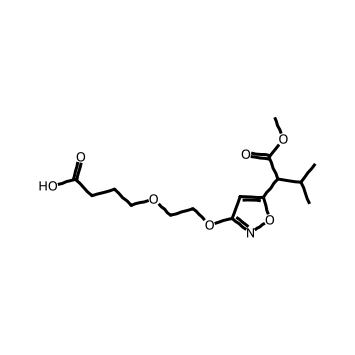 COC(=O)C(c1cc(OCCOCCCC(=O)O)no1)C(C)C